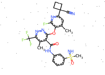 Cc1cc(C2(C#N)CCC2)nc(F)c1Oc1nnc(C(F)(F)F)c(C)c1C(=O)Nc1cccc(S(C)(=N)=O)c1